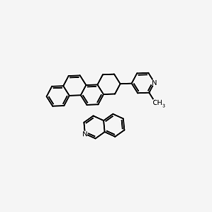 Cc1cc(C2CCc3c(ccc4c3ccc3ccccc34)C2)ccn1.c1ccc2cnccc2c1